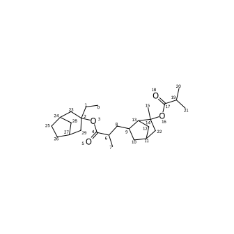 CCC1(OC(=O)C(C)CC2CC3CC2C(C)(OC(=O)C(C)C)C3)CC2CCC(C2)C1